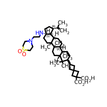 C=C(C)[C@@H]1CC[C@]2(NCCN3CCS(=O)(=O)CC3)CC[C@]3(C)[C@H](CC[C@@H]4[C@@]5(C)C=CC(=C6CC7(C6)CC(C(=O)O)(C(=O)O)C7)C(C)(C)[C@@H]5CC[C@]43C)[C@@H]12